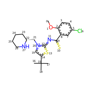 COc1ccc(Cl)cc1C(=S)N=c1sc(C(C)(C)C)cn1C[C@H]1CCCCN1